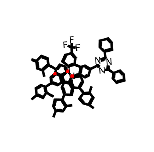 Cc1ccc(-c2ccc3c(c2)c2cc(-c4ccc(C)cc4C)ccc2n3-c2ccc(-c3nc(-c4ccccc4)nc(-c4ccccc4)n3)cc2-c2cc(C(F)(F)F)ccc2-n2c3ccc(-c4ccc(C)cc4C)cc3c3cc(-c4ccc(C)cc4C)ccc32)c(C)c1